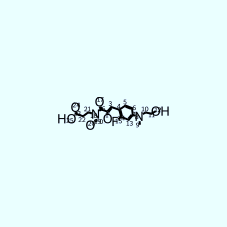 CO/C(=C\c1ccc(N(C)CCO)cc1F)C(=O)N(C=O)CCC(=O)O